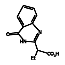 CCC(C(=O)O)c1nc2ccccc2c(=O)[nH]1